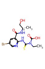 CCN(C(=O)O)C(=S)Nc1ncc(Br)cc1C(=O)N[C@@H](C)CO